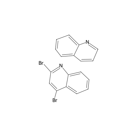 Brc1cc(Br)c2ccccc2n1.c1ccc2ncccc2c1